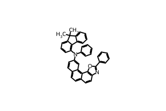 CC1(C)c2ccccc2-c2c(N(c3ccccc3)c3ccc4ccc5ccc6nc(-c7ccccc7)oc6c5c4c3)cccc21